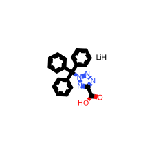 O=C(O)c1nnn(C(c2ccccc2)(c2ccccc2)c2ccccc2)n1.[LiH]